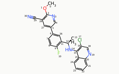 COc1ncc(-c2ccc(F)c([C@@H](C)Nc3c(Cl)cnc4ccccc34)c2)cc1C#N